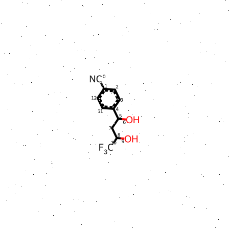 N#Cc1ccc(C(O)CC(O)C(F)(F)F)cc1